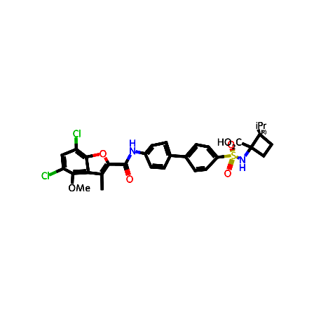 COc1c(Cl)cc(Cl)c2oc(C(=O)Nc3ccc(-c4ccc(S(=O)(=O)NC5(C(=O)O)CC[C@@H]5C(C)C)cc4)cc3)c(C)c12